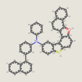 c1ccc(N(c2cccc(-c3cccc4ccccc34)c2)c2ccc3sc4ccc5oc6c7ccccc7ccc6c5c4c3c2)cc1